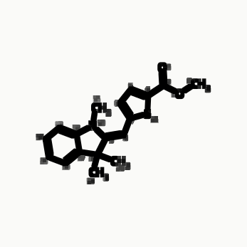 COC(=O)c1ccc(C=C2N(C)c3ccccc3C2(C)C)s1